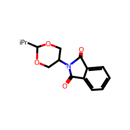 [CH2]C(C)C1OCC(N2C(=O)c3ccccc3C2=O)CO1